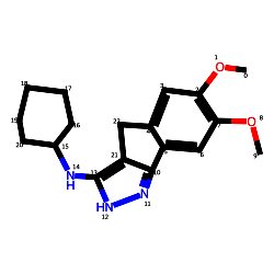 COc1cc2c(cc1OC)-c1n[nH]c(NC3CCCCC3)c1C2